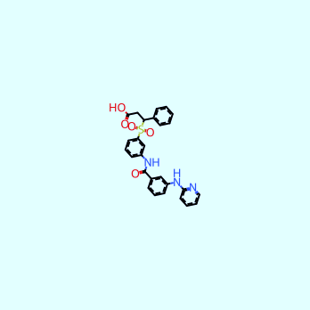 O=C(O)CC(c1ccccc1)S(=O)(=O)c1cccc(NC(=O)c2cccc(Nc3ccccn3)c2)c1